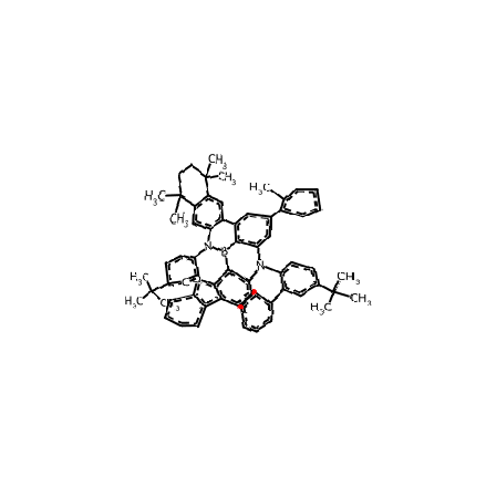 Cc1ccccc1-c1cc2c3c(c1)N(c1ccc(C(C)(C)C)cc1-c1ccccc1)c1ccc4c(oc5ccccc54)c1B3N(c1ccc(C(C)(C)C)cc1)c1cc3c(cc1-2)C(C)(C)CCC3(C)C